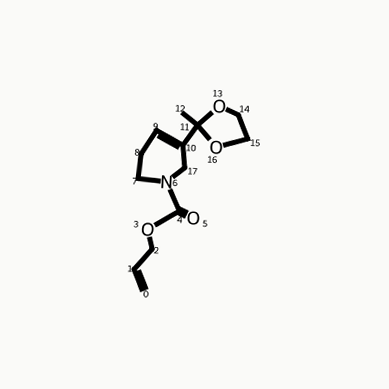 C=CCOC(=O)N1CCC=C(C2(C)OCCO2)C1